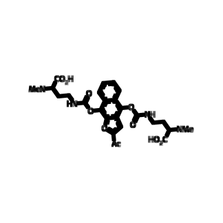 CNC(CCNC(=O)Oc1c2ccccc2c(OC(=O)NCCC(NC)C(=O)O)c2oc(C(C)=O)cc12)C(=O)O